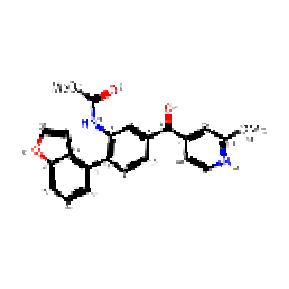 COC(=O)Nc1cc(C(=O)c2ccnc(OC)c2)ccc1-c1cccc2occc12